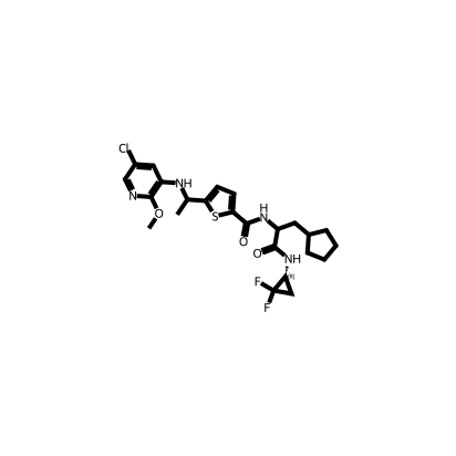 COc1ncc(Cl)cc1NC(C)c1ccc(C(=O)NC(CC2CCCC2)C(=O)N[C@@H]2CC2(F)F)s1